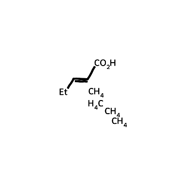 C.C.C.C.CCC=CC(=O)O